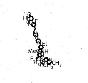 CCc1cc(Nc2ncc(C(F)(F)F)c(Nc3ccc4nc(C)ccc4c3P(C)(C)=O)n2)c(OC)cc1N1CCC(N2CCN(CCc3cc(F)c(C4CCC(=O)NC4=O)c(F)c3)CC2)CC1